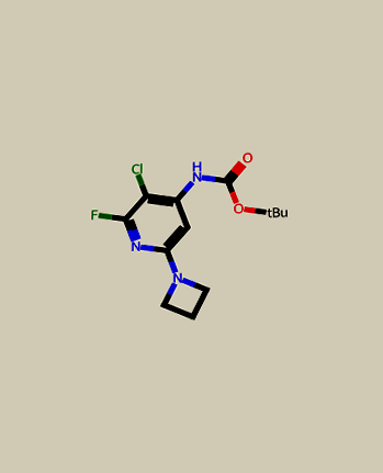 CC(C)(C)OC(=O)Nc1cc(N2CCC2)nc(F)c1Cl